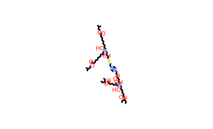 CCC(CC)OC(=O)CCCC(O)CN(CCCC(=O)OCCN1CCN(CCSSCCCCN(CC(O)CCCCCCC(=O)OCCC(C)C)CC(O)CCCCCCC(=O)OCCC(C)C)CC1)CC(O)CCCC(=O)OC(CC)CC